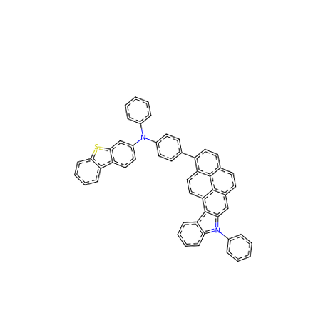 c1ccc(N(c2ccc(-c3ccc4ccc5cc6c(c7ccc3c4c57)c3ccccc3n6-c3ccccc3)cc2)c2ccc3c(c2)sc2ccccc23)cc1